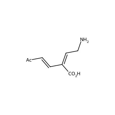 CC(=O)C=CC(=CCN)C(=O)O